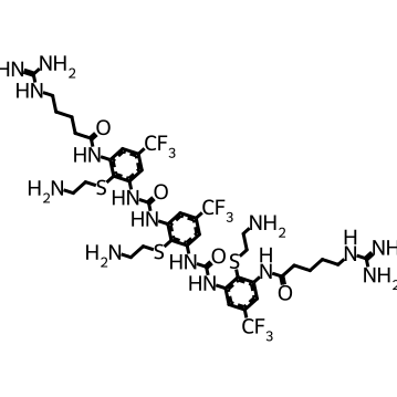 N=C(N)NCCCCC(=O)Nc1cc(C(F)(F)F)cc(NC(=O)Nc2cc(C(F)(F)F)cc(NC(=O)Nc3cc(C(F)(F)F)cc(NC(=O)CCCCNC(=N)N)c3SCCN)c2SCCN)c1SCCN